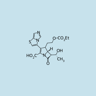 CCOC(=O)OCCC1C(c2csc3cncn23)=C(C(=O)O)N2C(=O)[C@H]([C@@H](C)O)[C@@H]12